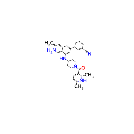 C=C/C=c1/cc(C2C=C(C#N)C=CC2)cc(NC2CCN(C(=O)C3=CC=C(C)NC3C)CC2)/c1=C/N